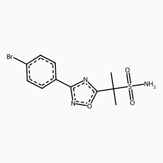 CC(C)(c1nc(-c2ccc(Br)cc2)no1)S(N)(=O)=O